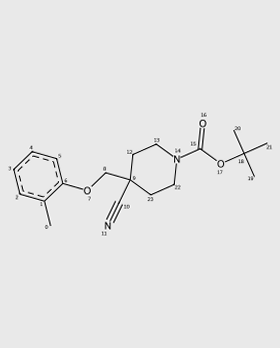 Cc1ccccc1OCC1(C#N)CCN(C(=O)OC(C)(C)C)CC1